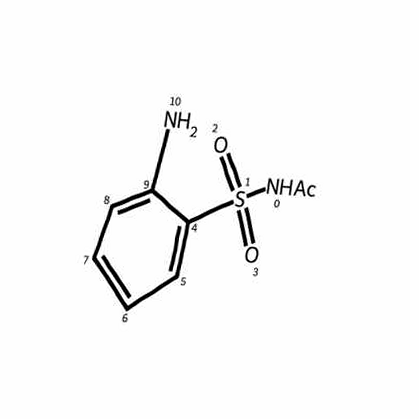 CC(=O)NS(=O)(=O)c1ccccc1N